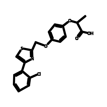 CC(Oc1ccc(OCc2nc(-c3ccccc3Cl)cs2)cc1)C(=O)O